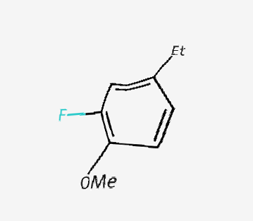 CCc1ccc(OC)c(F)c1